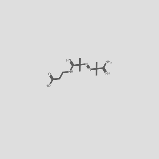 CC(C)(N=NC(C)(C)C(=N)NCCC(=O)O)C(=N)N